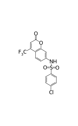 O=c1cc(C(F)(F)F)c2ccc(NS(=O)(=O)c3ccc(Cl)cc3)cc2o1